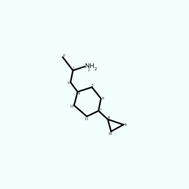 CC(N)CC1CCC(C2CC2)CC1